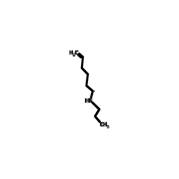 C=CCCC[CH]NCCC